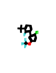 CC(C)(C)c1cccc(-c2cc(OC(F)(F)F)ccc2Cl)c1F